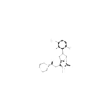 O=C(Cc1[nH]c(=S)n2c1CC(c1c(F)ccc(Br)c1F)C2)N1CCOCC1